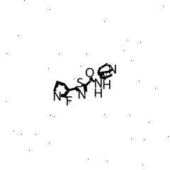 O=C(N[C@H]1CN2CCC1CC2)c1cnc(-c2cccnc2F)s1